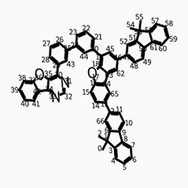 CC1(C)c2ccccc2-c2ccc(-c3ccc4oc5c(-c6cccc(-c7cccc(-c8ncnc9c8oc8ccccc89)c7)c6)cc(-c6ccc7c(c6)C(C)(C)c6ccccc6-7)cc5c4c3)cc21